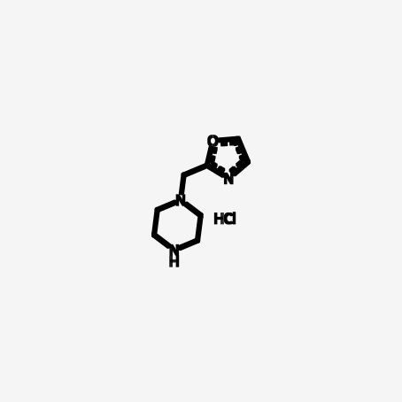 Cl.c1coc(CN2CCNCC2)n1